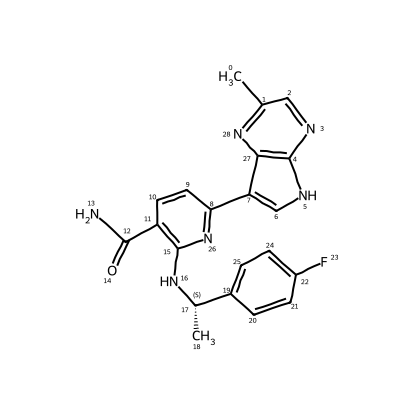 Cc1cnc2[nH]cc(-c3ccc(C(N)=O)c(N[C@@H](C)c4ccc(F)cc4)n3)c2n1